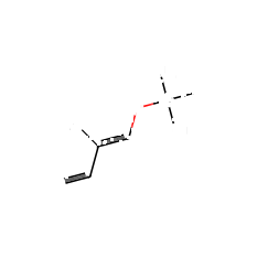 C=C/C(C)=C/O[Si](C)(C)C